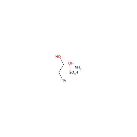 CC(C)CCO.N.O=S(=O)(O)O